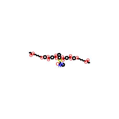 C=CC(=O)OCCCCCCOC1CCC(OC(=O)C2CCC(C(=O)Oc3c4c(c(OC(=O)C5CCC(C(=O)OC6CCC(OCCCCCCOC(=O)C=C)CC6)CC5)c5ccccc35)SC(=C3C(=O)N=C5C=CC=CN53)S4)CC2)CC1